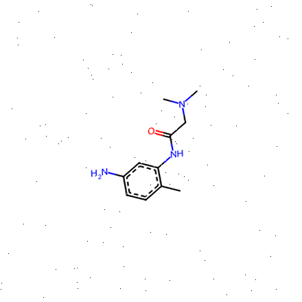 Cc1ccc(N)cc1NC(=O)CN(C)C